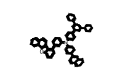 c1ccc(-c2cc(-c3ccccc3)cc(-c3ccc(N(c4ccc(-c5ccc6ccccc6c5)cc4)c4cccc(-c5cccc6oc7c8ccccc8ccc7c56)c4)cc3)c2)cc1